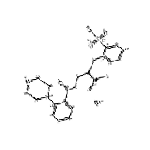 CN(C)C(CCC(=O)c1ccccc1N1CCOCC1)Cc1ccccc1S(=O)(=O)[O-].[Na+]